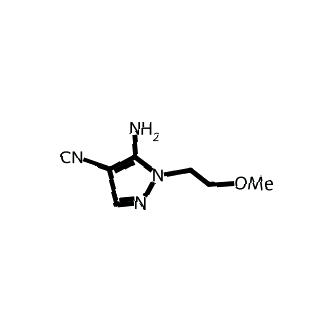 [C-]#[N+]c1cnn(CCOC)c1N